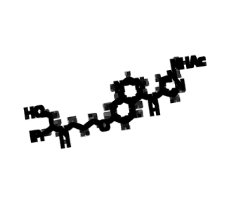 CC(=O)Nn1cc(Nc2ncnc3cc(OCCCNC(CO)C(C)C)ccc23)cn1